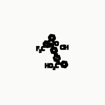 Cl.O=C(Nc1ccc(N2CCN(C(C(=O)O)c3ccccc3)CC2)cc1)c1ccccc1-c1ccc(C(F)(F)F)cc1